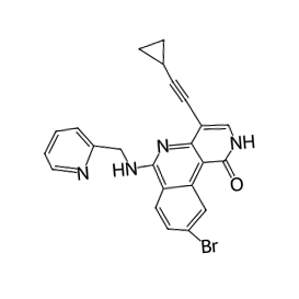 O=c1[nH]cc(C#CC2CC2)c2nc(NCc3ccccn3)c3ccc(Br)cc3c12